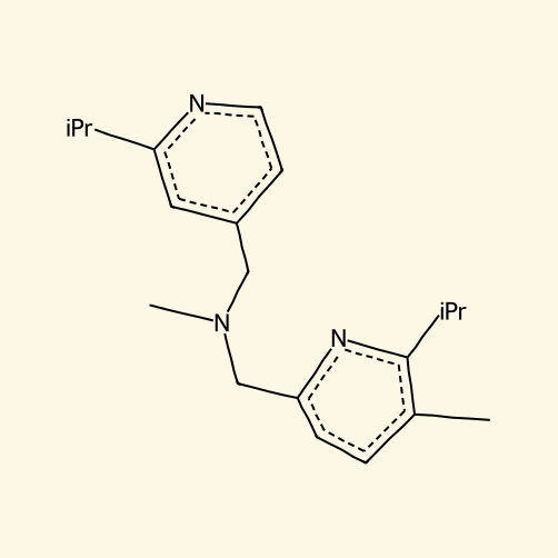 Cc1ccc(CN(C)Cc2ccnc(C(C)C)c2)nc1C(C)C